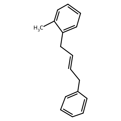 Cc1ccccc1CC=CCc1ccccc1